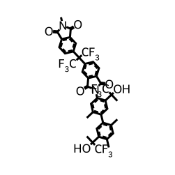 Cc1cc(C)c(C(C)(O)C(F)(F)F)cc1-c1cc(C(C)(O)C(F)(F)F)c(N2C(=O)c3ccc(C(c4ccc5c(c4)C(=O)N(C)C5=O)(C(F)(F)F)C(F)(F)F)cc3C2=O)cc1C